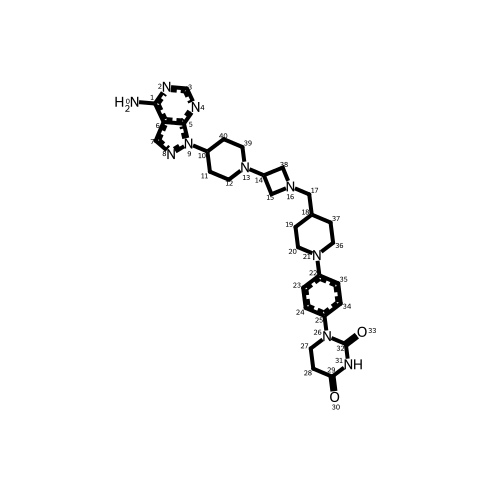 Nc1ncnc2c1cnn2C1CCN(C2CN(CC3CCN(c4ccc(N5CCC(=O)NC5=O)cc4)CC3)C2)CC1